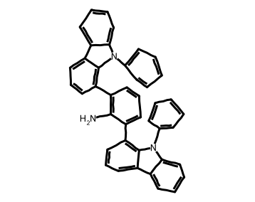 Nc1c(-c2cccc3c4ccccc4n(-c4ccccc4)c23)cccc1-c1cccc2c3ccccc3n(-c3ccccc3)c12